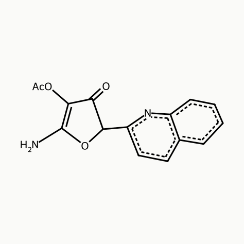 CC(=O)OC1=C(N)OC(c2ccc3ccccc3n2)C1=O